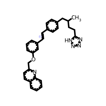 CC(CCc1nnn[nH]1)Cc1ccc(/C=C/c2cccc(OCc3ccc4ccccc4n3)c2)cc1